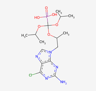 CC(C)OC(OC(C)C)(OC(C)Cn1cnc2c(Cl)nc(N)nc21)P(=O)(O)O